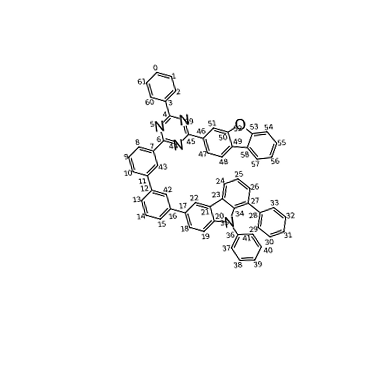 c1ccc(-c2nc(-c3cccc(-c4cccc(-c5ccc6c(c5)c5cccc(-c7ccccc7)c5n6-c5ccccc5)c4)c3)nc(-c3ccc4c(c3)oc3ccccc34)n2)cc1